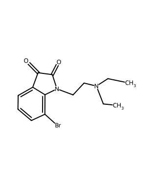 CCN(CC)CCN1C(=O)C(=O)c2cccc(Br)c21